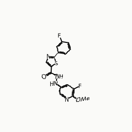 COc1ncc(NNC(=O)c2cnc(-c3cccc(F)c3)s2)cc1F